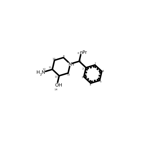 CCCC(c1ccccc1)N1CCC(N)C(O)C1